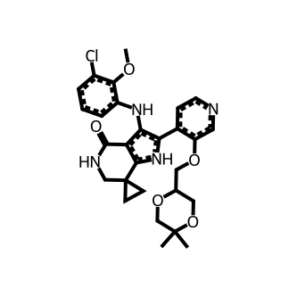 COc1c(Cl)cccc1Nc1c(-c2ccncc2OCC2COC(C)(C)CO2)[nH]c2c1C(=O)NCC21CC1